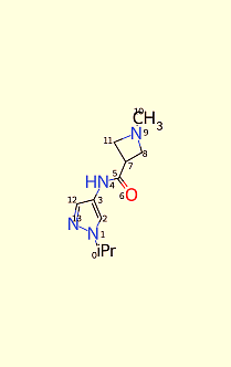 CC(C)n1cc(NC(=O)C2CN(C)C2)cn1